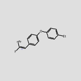 CCC/C(F)=C\c1ccc(Oc2ccc(CC)cc2)cc1